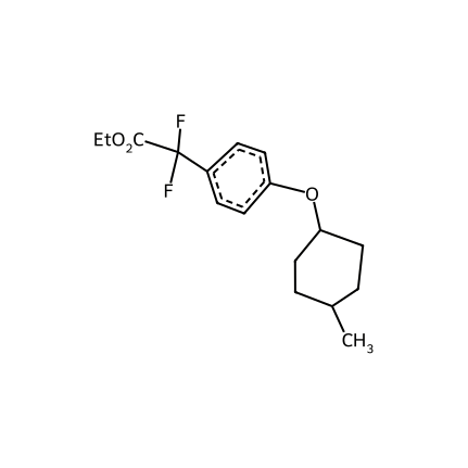 CCOC(=O)C(F)(F)c1ccc(OC2CCC(C)CC2)cc1